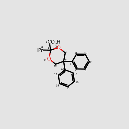 CC(C)C1(C(=O)O)OCC(c2ccccc2)(c2ccccc2)CO1